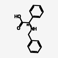 O=C(O)[C@H](NCc1ccccc1)c1ccccc1